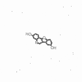 Oc1ccc2c(c1)ncc1c3cc(O)ccc3oc21